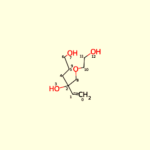 C=CC(O)(CCCO)COCCO